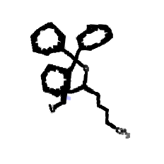 [Li]/[CH]=C/C(CCCCC)OC(c1ccccc1)(c1ccccc1)c1ccccc1